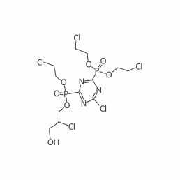 O=P(OCCCl)(OCCCl)c1nc(Cl)nc(P(=O)(OCCCl)OCC(Cl)CO)n1